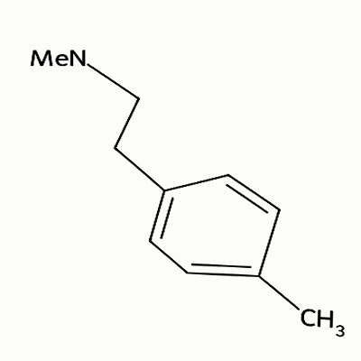 CNCCc1ccc(C)cc1